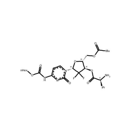 CCCCCCOC(=O)Nc1ccn([C@@H]2O[C@H](COC(=O)C(C)(C)C)[C@@H](OC(=O)[C@@H](N)C(C)C)C2(F)F)c(=O)n1